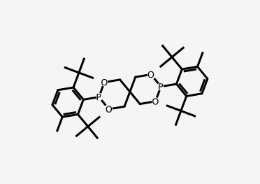 Cc1ccc(C(C)(C)C)c(P2OCC3(CO2)COP(c2c(C(C)(C)C)ccc(C)c2C(C)(C)C)OC3)c1C(C)(C)C